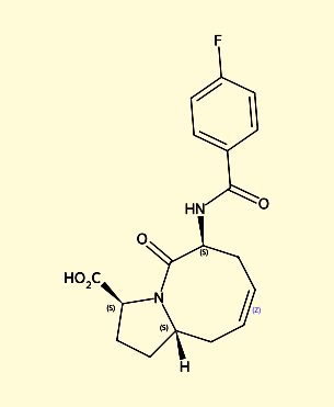 O=C(N[C@H]1C/C=C\C[C@@H]2CC[C@@H](C(=O)O)N2C1=O)c1ccc(F)cc1